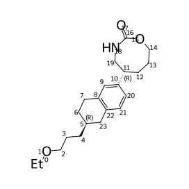 CCOCCC[C@H]1CCc2cc([C@H]3CCCOC(=O)NC3)ccc2C1